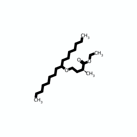 CCCCCCCCC(CCCCCCC)OCC[C@@H](C)C(=O)OCC